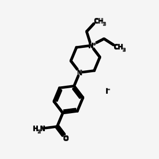 CC[N+]1(CC)CCN(c2ccc(C(N)=O)cc2)CC1.[I-]